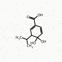 CC(C)C1C=C(C(=O)O)C=CC1(O)O